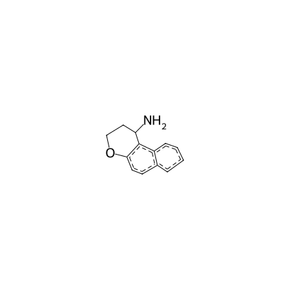 NC1CCOc2ccc3ccccc3c21